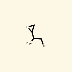 CC(CBr)C1CO1